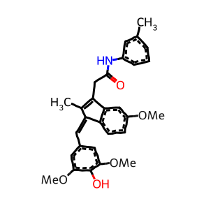 COc1ccc2c(c1)C(CC(=O)Nc1cccc(C)c1)=C(C)/C2=C/c1cc(OC)c(O)c(OC)c1